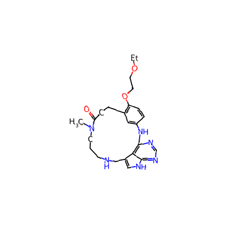 CCOCCOc1ccc2cc1CCC(=O)N(C)CCCNCc1c[nH]c3ncnc(c13)N2